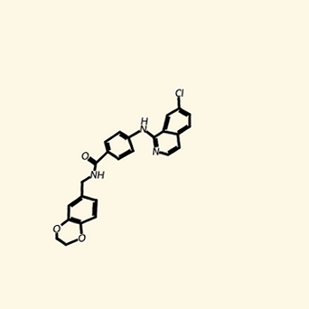 O=C(NCc1ccc2c(c1)OCCO2)c1ccc(Nc2nccc3ccc(Cl)cc23)cc1